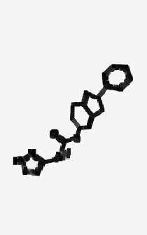 O=C(Nc1cc[nH]n1)OC1C=C2CC(c3ccccc3)C=C2CC1